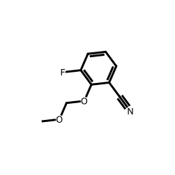 COCOc1c(F)cccc1C#N